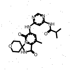 Cc1cc(Nc2cc(NC(=O)C(C)C)ncn2)c(=O)n2c1C(=O)NC21CCOCC1